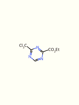 CCOC(=O)c1ncnc(C(Cl)(Cl)Cl)n1